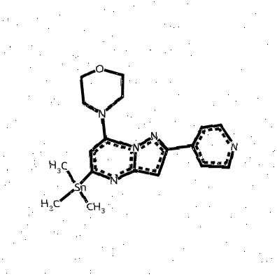 [CH3][Sn]([CH3])([CH3])[c]1cc(N2CCOCC2)n2nc(-c3ccncc3)cc2n1